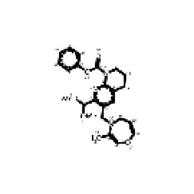 COC(OC)c1nc2c(cc1CN1CC=COC=C1C)CCCN2C(=O)Oc1ccccc1